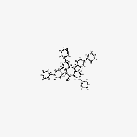 O=c1c2cc(-c3ccccc3)cc3c4cc(-c5ccccc5)ccc4n(c4cc(-c5c#cccc5)cc5c6cc(-c7ccccc7)ccc6n1c54)c23